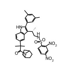 Cc1cc(C)cc(-c2[nH]c3ccc(C(C)(C)C(=O)N4C5CCC4CC5)cc3c2[C@H](C)CNS(=O)(=O)c2ccc([N+](=O)[O-])cc2[N+](=O)[O-])c1